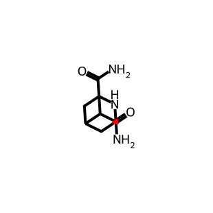 NC(=O)C1C2CCNC1(C(N)=O)C2